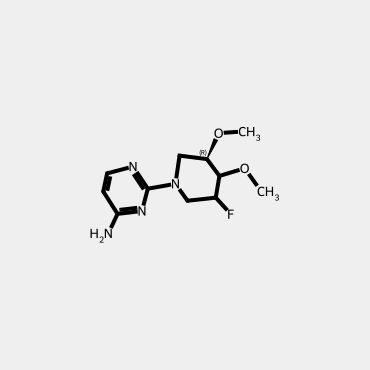 COC1C(F)CN(c2nccc(N)n2)C[C@H]1OC